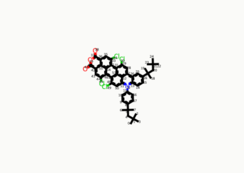 CC(C)(C)CC(C)(C)c1ccc(-n2c3ccc(C(C)(C)CC(C)(C)C)cc3c3cc(Cl)c4c5c(Cl)cc6c(=O)oc(=O)c7cc(Cl)c(c8c(Cl)cc2c3c48)c5c67)cc1